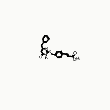 O=C(O)C=Cc1ccc(CSc2nc(Cc3ccccc3)cc(=O)[nH]2)cc1